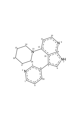 c1cncc(-c2c[nH]c3nccc(N4CCCCC4)c23)c1